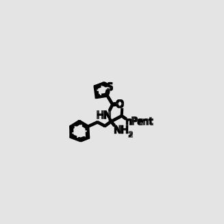 CCCCCC(C)C(N)(CCc1ccccc1)NC(=O)c1cccs1